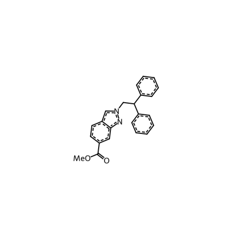 COC(=O)c1ccc2cn(CC(c3ccccc3)c3ccccc3)nc2c1